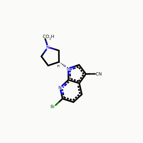 N#Cc1cn([C@@H]2CCN(C(=O)O)C2)c2nc(Br)ccc12